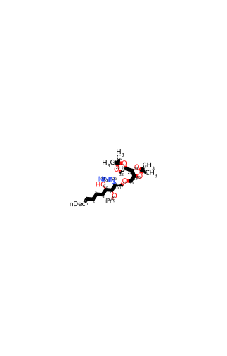 CCCCCCCCCCCCCC[C@@H](O)[C@@H](OC(C)C)[C@H](COCC1OC(C)(C)O[C@H]1[C@@H]1COC(C)(C)O1)N=[N+]=[N-]